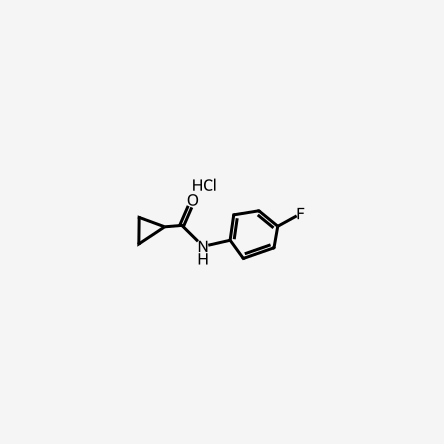 Cl.O=C(Nc1ccc(F)cc1)C1CC1